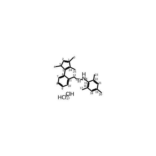 CC1=CC(C)C(c2ccccc2[CH2][Ti][NH]c2c(C)cc(C)cc2C)=C1C.Cl.Cl